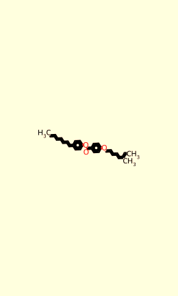 CCCCCCCCc1ccc(OC(=O)c2ccc(OCCCCCC(C)CC)cc2)cc1